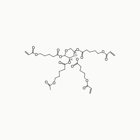 C=CC(=O)OCCCCC(=O)OC1OC[C@@H](OC(=O)CCCCOC(=O)C=C)[C@H](OC(=O)CCCCOC(=O)C=C)[C@H]1OC(=O)CCCCOC(C)=O